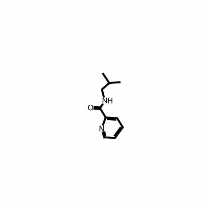 C[C](C)CNC(=O)c1ccccn1